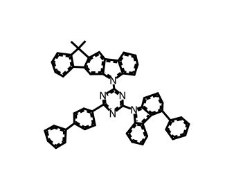 CC1(C)c2ccccc2-c2cc3c(cc21)c1ccccc1n3-c1nc(-c2ccc(-c3ccccc3)cc2)nc(-n2c3ccccc3c3c(-c4ccccc4)cccc32)n1